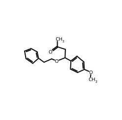 COc1ccc(C(CC(C)=O)OCCc2ccccc2)cc1